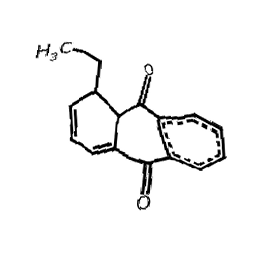 CCC1C=CC=C2C(=O)c3ccccc3C(=O)C21